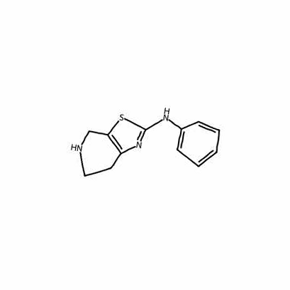 c1ccc(Nc2nc3c(s2)CNCC3)cc1